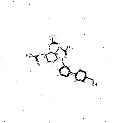 CC(=O)O[C@@H]1[C@@H](OC(C)=O)[C@@H](Oc2cncc(-c3ccc(CO)cc3)c2)SC[C@H]1OC(C)=O